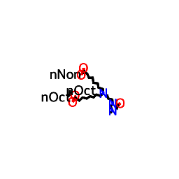 CCCCCCCCCOC(=O)CCCCCCCN(CCCCCCCC(=O)OC(CCCCCCCC)CCCCCCCC)CCCN1CN(C)CC1=O